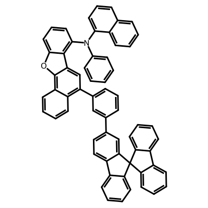 c1ccc(N(c2cccc3ccccc23)c2cccc3oc4c5ccccc5c(-c5cccc(-c6ccc7c(c6)C6(c8ccccc8-c8ccccc86)c6ccccc6-7)c5)cc4c23)cc1